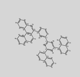 c1cc(-c2nc(-c3cccc4ccccc34)nc(-c3cccc4ccccc34)n2)nc(-c2nc3ccccc3c3c2ccc2ccccc23)c1